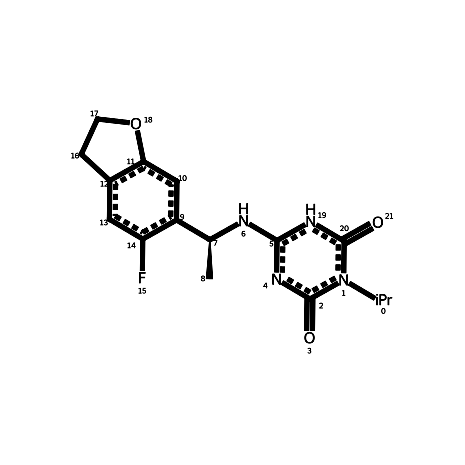 CC(C)n1c(=O)nc(N[C@@H](C)c2cc3c(cc2F)CCO3)[nH]c1=O